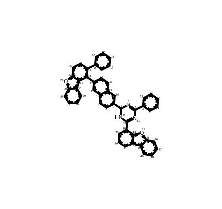 c1ccc(C2=NC(c3ccc4cc(-c5c(-c6ccccc6)ccc6oc7ccccc7c56)ccc4c3)NC(c3cccc4c3oc3ccccc34)=N2)cc1